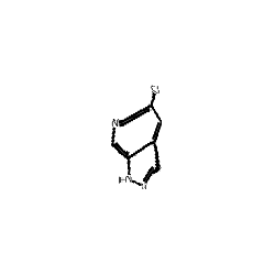 Clc1cc2cn[nH]c2cn1